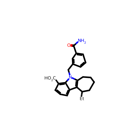 CCC1CCCCc2c1c1cccc(C(=O)O)c1n2Cc1cccc(C(N)=O)c1